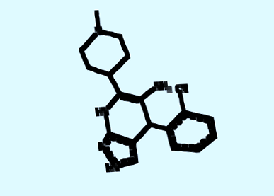 CN1CCC(C2=C(N)C(c3ccccc3C#N)c3c[nH]nc3N2)CC1